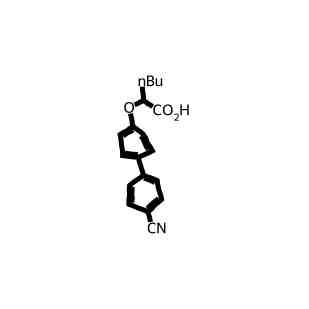 CCCCC(Oc1ccc(-c2ccc(C#N)cc2)cc1)C(=O)O